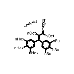 CCCCCCCCC(=C=[N+]=[N-])C(CCCCCCCC)=C(c1cc(CCCC)c(CCCC)c(CCCC)c1)c1cc(CCCCCC)c(CCCCCC)c(CCCCCC)c1.C[CH2][Ni][CH2]C